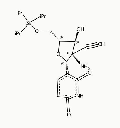 C#C[C@@]1(N)[C@H](O)[C@@H](CO[Si](C(C)C)(C(C)C)C(C)C)O[C@H]1n1ccc(=O)[nH]c1=O